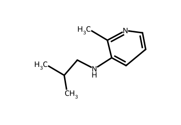 Cc1ncccc1NCC(C)C